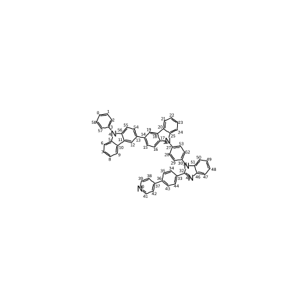 c1ccc(-n2c3ccccc3c3cc(-c4ccc5c(c4)c4ccccc4n5-c4ccc(-n5c(-c6ccc(-c7ccncc7)cc6)nc6ccccc65)cc4)ccc32)cc1